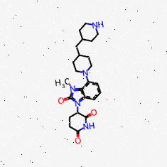 Cn1c(=O)n(C2CCC(=O)NC2=O)c2cccc(N3CCC(CC4CCNCC4)CC3)c21